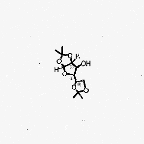 CC1(C)O[C@H]2O[C@H]([C@H]3COC(C)(C)O3)[C](O)[C@H]2O1